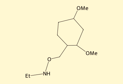 CCNOCC1CCC(OC)CC1OC